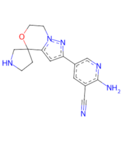 N#Cc1cc(-c2cc3n(n2)CCOC32CCNC2)cnc1N